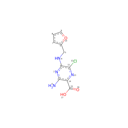 Nc1nc(NCc2ccco2)c(Cl)nc1C(=O)O